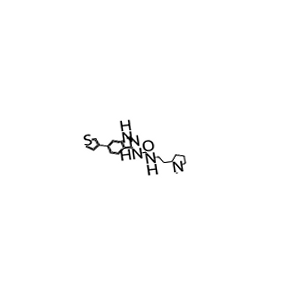 CN1CCCC1CCNC(=O)Nc1n[nH]c2cc(-c3ccsc3)ccc12